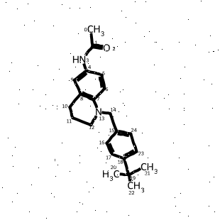 CC(=O)Nc1ccc2c(c1)CCCN2Cc1ccc(C(C)(C)C)cc1